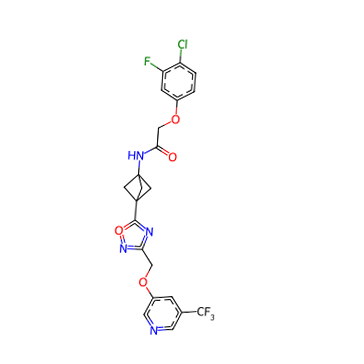 O=C(COc1ccc(Cl)c(F)c1)NC12CC(c3nc(COc4cncc(C(F)(F)F)c4)no3)(C1)C2